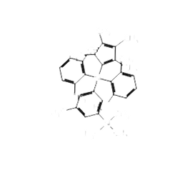 CC1=C(C)C(C)C([Si](c2cc(C)cc([Si](C)(C)C)c2)(c2c(C)cccc2C)c2c(C)cccc2C)=C1C